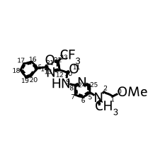 COCCN(C)c1ccc(NC(=O)c2nc(-c3ccccc3)oc2C(F)(F)F)nc1